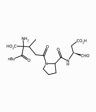 CCCCC(=O)C(N)(C(=O)O)C(C)CC(=O)N1CCCC1C(=O)N[C@H](C=O)CC(=O)O